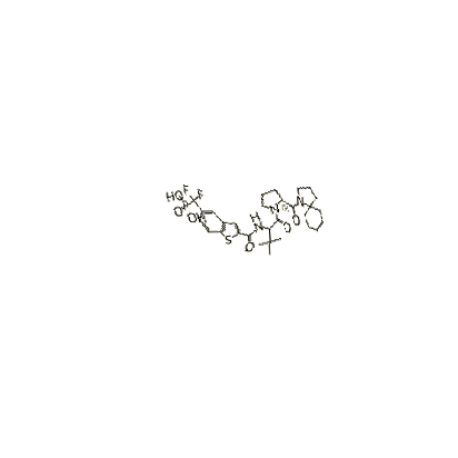 CC(C)(C)C(NC(=O)c1cc2cc(C(F)(F)P(=O)(O)O)ccc2s1)C(=O)N1CCC[C@H]1C(=O)N1CCCC12CCCCC2